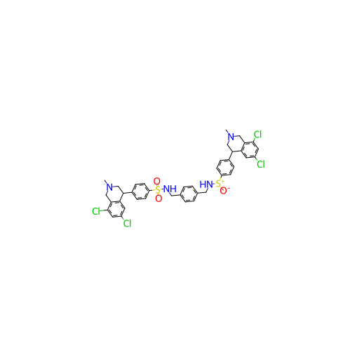 CN1Cc2c(Cl)cc(Cl)cc2C(c2ccc([S+]([O-])NCc3ccc(CNS(=O)(=O)c4ccc(C5CN(C)Cc6c(Cl)cc(Cl)cc65)cc4)cc3)cc2)C1